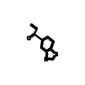 C=CC(=O)c1ccc2scnc2c1